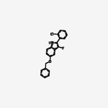 Fc1c(-c2ccccc2Cl)[nH]c2ccc(OCc3ccccc3)cc12